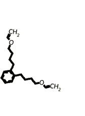 C=COCCCCc1ccccc1CCCCOC=C